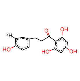 [2H]c1cc(CCC(=O)c2c(O)cc(O)cc2O)ccc1O